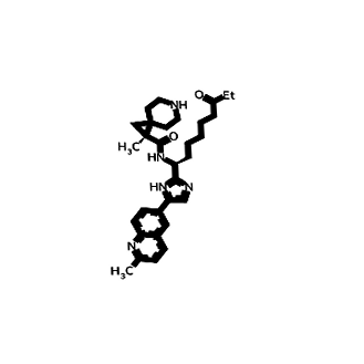 CCC(=O)CCCCC[C@H](NC(=O)[C@@]1(C)CC12CCNCC2)c1ncc(-c2ccc3nc(C)ccc3c2)[nH]1